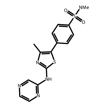 CNS(=O)(=O)c1ccc(-c2sc(Nc3cnccn3)nc2C)cc1